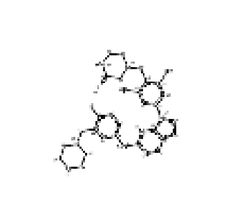 Cc1ccc(Nc2ncc3ccn(-c4cc(F)c(CN5CCNC(=O)C5)c(F)c4)c3n2)cc1CN1CCOCC1